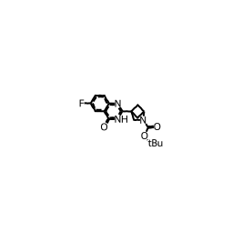 CC(C)(C)OC(=O)N1CC2(c3nc4ccc(F)cc4c(=O)[nH]3)CC1C2